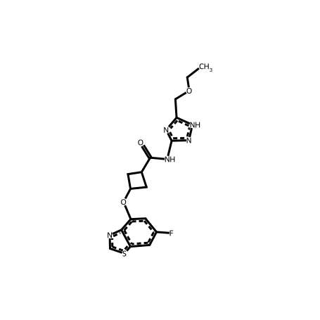 CCOCc1nc(NC(=O)C2CC(Oc3cc(F)cc4scnc34)C2)n[nH]1